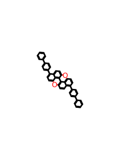 c1ccc(-c2ccc(-c3ccc4oc5ccc6c(-c7ccc(-c8ccccc8)cc7)ccc7oc8ccc3c4c8-c5c76)cc2)cc1